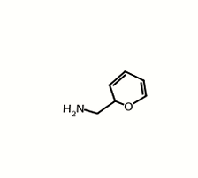 NCC1C=CC=CO1